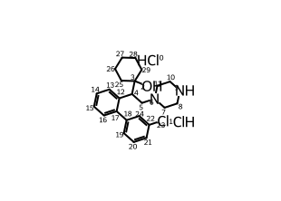 Cl.Cl.OC1(C(CN2CCNCC2)c2ccccc2-c2cccc(Cl)c2)CCCCC1